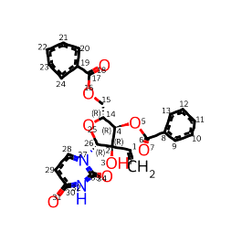 C=C[C@@]1(O)[C@H](OC(=O)c2ccccc2)[C@@H](COC(=O)c2ccccc2)O[C@H]1n1ccc(=O)[nH]c1=O